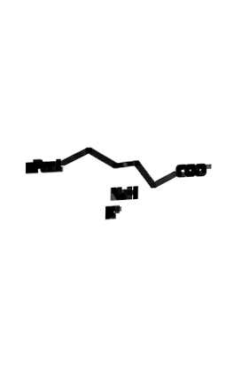 CCCCCCCCCC(=O)[O-].[K+].[NaH]